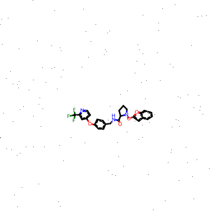 O=C(NCc1ccc(Oc2ccnc(C(F)(F)F)c2)cc1)C1CCCN1Oc1cc2ccccc2o1